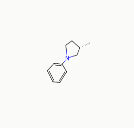 C[C@H]1CCN(c2ccccc2)C1